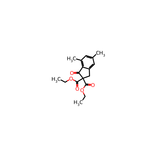 CCOC(=O)C1(C(=O)OCC)Cc2cc(C)cc(C)c2C1=O